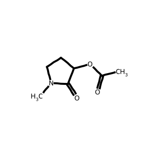 CC(=O)OC1CCN(C)C1=O